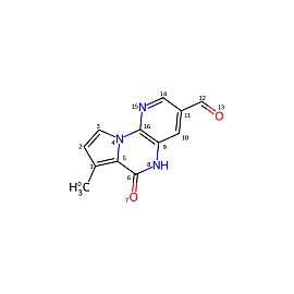 Cc1ccn2c1c(=O)[nH]c1cc(C=O)cnc12